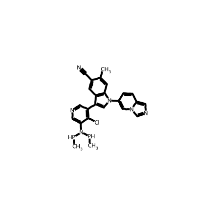 CPN(PC)c1cncc(-c2cn(-c3ccc4cncn4c3)c3cc(C)c(C#N)cc23)c1Cl